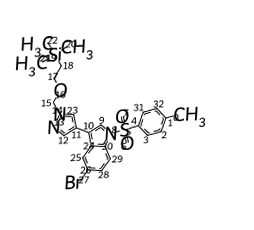 Cc1ccc(S(=O)(=O)n2cc(-c3cnn(COCC[Si](C)(C)C)c3)c3cc(Br)ccc32)cc1